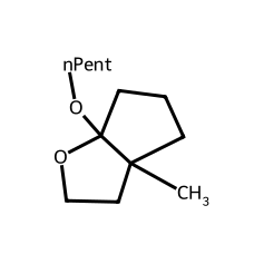 CCCCCOC12CCCC1(C)CCO2